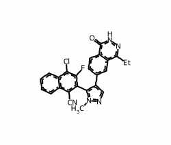 CCc1n[nH]c(=O)c2ccc(-c3cnn(C)c3-c3c(F)c(Cl)c4ccccc4c3C#N)cc12